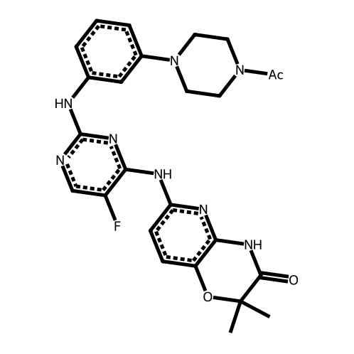 CC(=O)N1CCN(c2cccc(Nc3ncc(F)c(Nc4ccc5c(n4)NC(=O)C(C)(C)O5)n3)c2)CC1